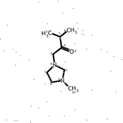 CC(C)C(=O)CN1CCN(C)C1